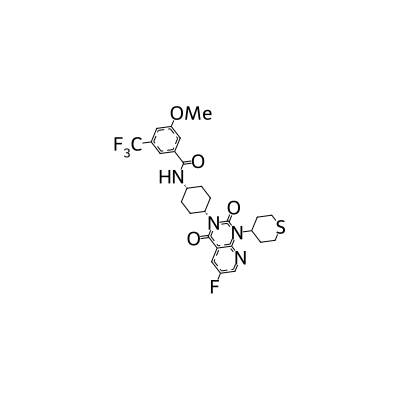 COc1cc(C(=O)N[C@H]2CC[C@@H](n3c(=O)c4cc(F)cnc4n(C4CCSCC4)c3=O)CC2)cc(C(F)(F)F)c1